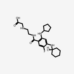 CC1(Nc2cc(NC3CCCC3)c(C(=O)NCCNCC(=O)O)cc2F)CCCCC1